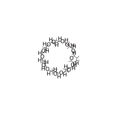 CC1[C@@H]2OC(C)[C@@H](O[C@H]3OC(C)[C@@H](O[C@H]4OC(C)[C@@H](O[C@H]5OC(C)[C@@H](O[C@H]6OC(C)[C@@H](O[C@H]7OC(C)[C@@H](O[C@H]8OC(C)[C@@H](O2)[C@H](C)C8C)[C@H](C)C7C)[C@H](C)C6C)[C@H](C)C5C)[C@H](C)C4C)[C@H](C)C3C)[C@@H]1C